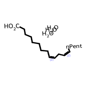 CCCCC/C=C\C/C=C\CCCCCCCC(=O)O.O.O.O